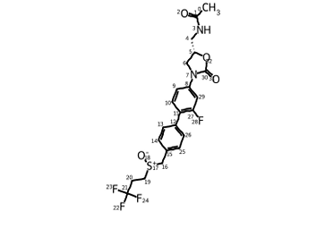 CC(=O)NC[C@H]1CN(c2ccc(-c3ccc(C[S+]([O-])CCC(F)(F)F)cc3)c(F)c2)C(=O)O1